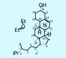 CC(C)[C@H](C)CC[C@@H](C)[C@H]1CC[C@H]2[C@@H]3CC=C4C[C@@H](O)CC[C@]4(C)[C@H]3CC[C@]12C.CCOCC